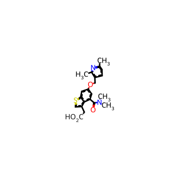 Cc1ccc(COc2cc(C(=O)N(C)C)c3c(CC(=O)O)csc3c2)c(C)n1